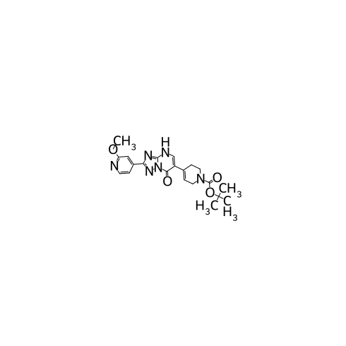 COc1cc(-c2nc3[nH]cc(C4=CCN(C(=O)OC(C)(C)C)CC4)c(=O)n3n2)ccn1